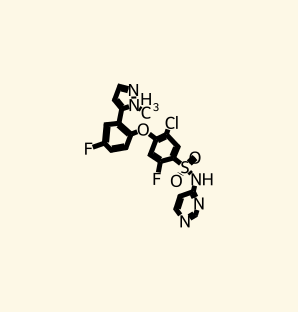 Cn1nccc1-c1cc(F)ccc1Oc1cc(F)c(S(=O)(=O)Nc2ccncn2)cc1Cl